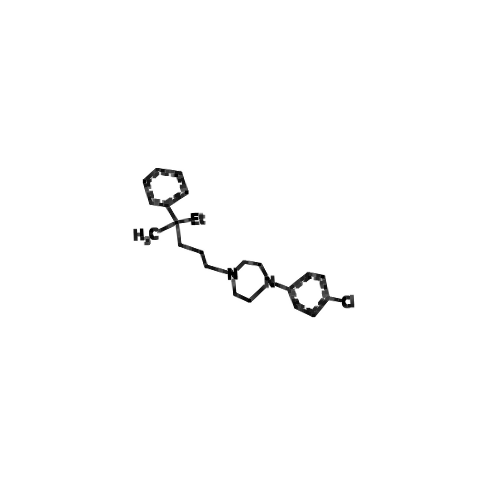 CCC(C)(CCCN1CCN(c2ccc(Cl)cc2)CC1)c1ccccc1